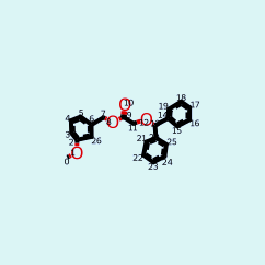 COc1cccc(COC(=O)COC(c2ccccc2)c2ccccc2)c1